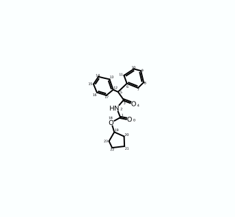 O=C(NC(=O)C(c1ccccc1)c1ccccc1)OC1CCCC1